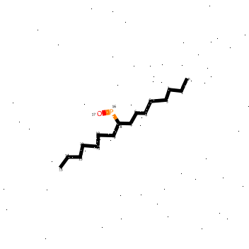 CCCCCCCCC(CCCCCCC)P=O